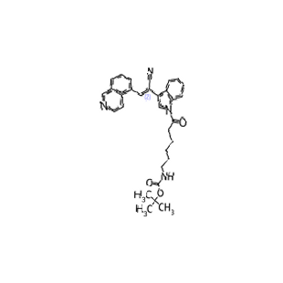 CC(C)(C)OC(=O)NCCCCCC(=O)n1cc(/C(C#N)=C/c2cccc3cnccc23)c2ccccc21